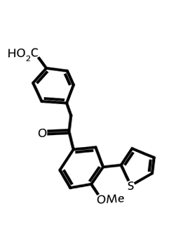 COc1ccc(C(=O)Cc2ccc(C(=O)O)cc2)cc1-c1cccs1